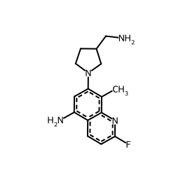 Cc1c(N2CCC(CN)C2)cc(N)c2ccc(F)nc12